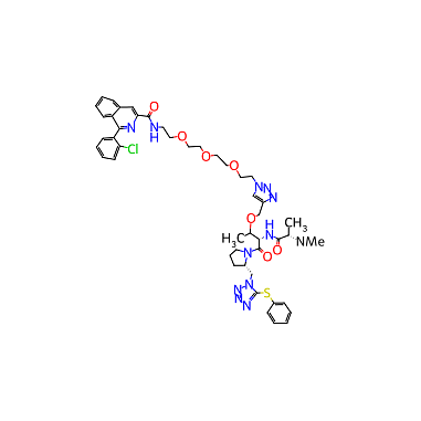 CN[C@@H](C)C(=O)N[C@H](C(=O)N1CCC[C@H]1Cn1nnnc1Sc1ccccc1)C(C)OCc1cn(CCOCCOCCOCCNC(=O)c2cc3ccccc3c(-c3ccccc3Cl)n2)nn1